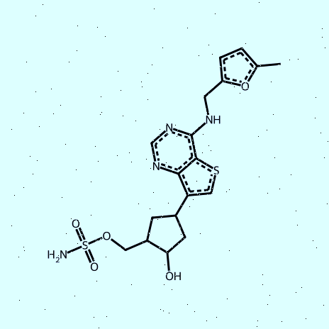 Cc1ccc(CNc2ncnc3c(C4CC(O)C(COS(N)(=O)=O)C4)csc23)o1